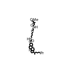 COCCC(C)(C)CC(=O)NCCOCCCCCNC(=O)O[C@H]1CC[C@@]2(C)C(=CC[C@@H]3C4CCC(C(C)CCCC(C)C)[C@@]4(C)CCC32)C1